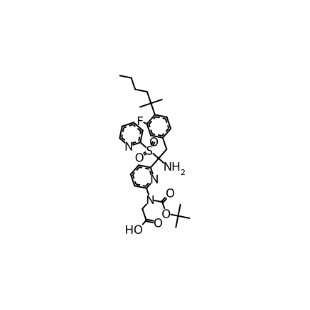 CCCCC(C)(C)c1ccc(CC(N)(c2cccc(N(CC(=O)O)C(=O)OC(C)(C)C)n2)S(=O)(=O)c2ccccn2)cc1F